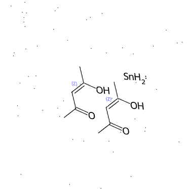 CC(=O)/C=C(/C)O.CC(=O)/C=C(/C)O.[SnH2]